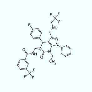 CCN1C(=O)[C@@H](CNC(=O)c2cccc(C(F)(F)F)c2)C(c2ccc(F)cc2)c2c(CNCC(F)(F)F)nn(-c3ccccc3)c21